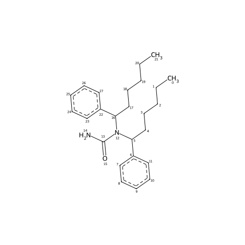 CCCCCC(c1ccccc1)N(C(N)=O)C(CCCCC)c1ccccc1